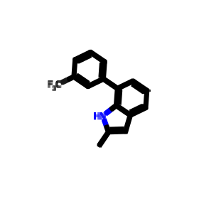 Cc1cc2c[c]cc(-c3cccc(C(F)(F)F)c3)c2[nH]1